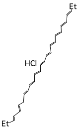 CCC=CC=CC=CC=CC=CC=CC=CC=CC=CCC=CC=CCC.Cl